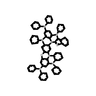 c1ccc(N(c2ccccc2)c2cc3c4c(c2)N(c2ccccc2)c2ccccc2B4c2cc4c(cc2O3)N(c2ccccc2)c2cc(N(c3ccccc3)c3ccccc3)cc3c2B4c2sc4ccccc4c2N3c2ccccc2)cc1